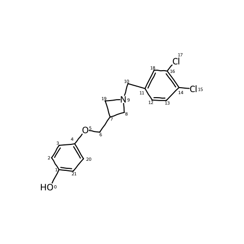 Oc1ccc(OCC2CN(Cc3ccc(Cl)c(Cl)c3)C2)cc1